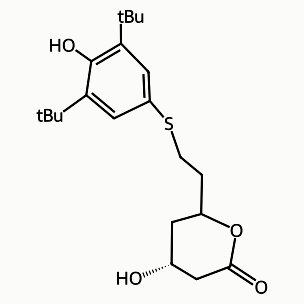 CC(C)(C)c1cc(SCCC2C[C@@H](O)CC(=O)O2)cc(C(C)(C)C)c1O